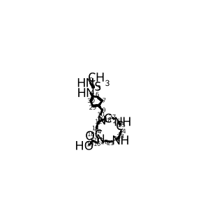 CNC(=S)Nc1ccc(CCN2CCCN(CC(=O)O)CCNCCCNCC2)cc1